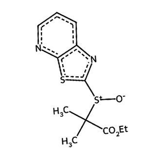 CCOC(=O)C(C)(C)[S+]([O-])c1nc2cccnc2s1